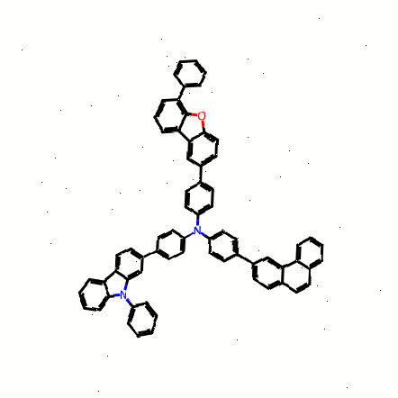 c1ccc(-c2cccc3c2oc2ccc(-c4ccc(N(c5ccc(-c6ccc7ccc8ccccc8c7c6)cc5)c5ccc(-c6ccc7c8ccccc8n(-c8ccccc8)c7c6)cc5)cc4)cc23)cc1